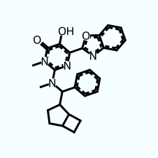 CN(c1nc(-c2nc3ccccc3o2)c(O)c(=O)n1C)C(c1ccccc1)C1CCC2CCC21